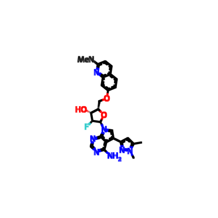 CNc1ccc2ccc(OC[C@H]3O[C@@H](n4cc(-c5cc(C)n(C)n5)c5c(N)ncnc54)[C@@H](F)[C@@H]3O)cc2n1